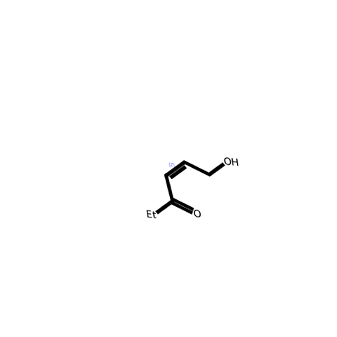 CCC(=O)/C=C\CO